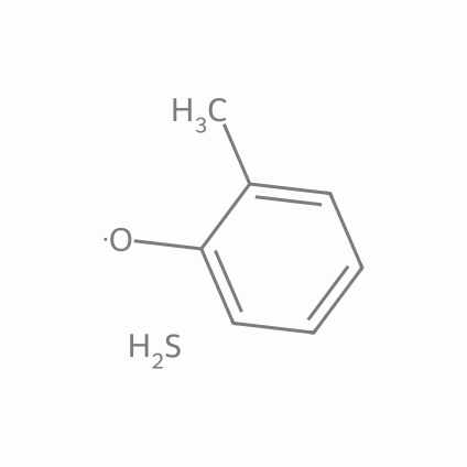 Cc1ccccc1[O].S